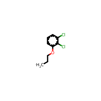 [CH2]CCOc1cccc(Cl)c1Cl